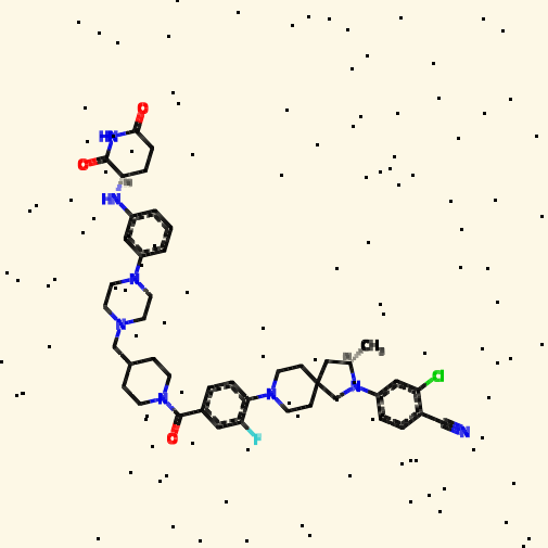 C[C@H]1CC2(CCN(c3ccc(C(=O)N4CCC(CN5CCN(c6cccc(N[C@H]7CCC(=O)NC7=O)c6)CC5)CC4)cc3F)CC2)CN1c1ccc(C#N)c(Cl)c1